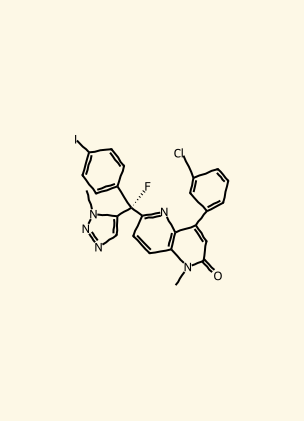 Cn1nncc1[C@@](F)(c1ccc(I)cc1)c1ccc2c(n1)c(-c1cccc(Cl)c1)cc(=O)n2C